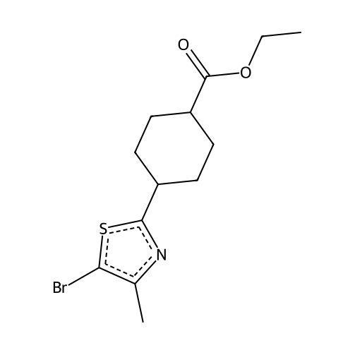 CCOC(=O)C1CCC(c2nc(C)c(Br)s2)CC1